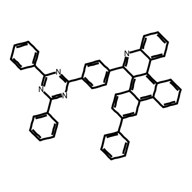 c1ccc(-c2ccc3c(c2)c2ccccc2c2c4ccccc4nc(-c4ccc(-c5nc(-c6ccccc6)nc(-c6ccccc6)n5)cc4)c32)cc1